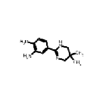 CC1(C)CN=C(c2ccc(N)c(N)c2)NC1